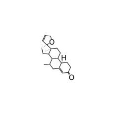 CC1CC2=CC(=O)CC[C@@H]2C2CC[C@@]3(C)C(CC[C@@]34C=CCO4)C12